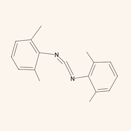 Cc1cccc(C)c1N=C=Nc1c(C)cccc1C